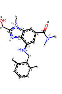 Cc1cccc(C)c1CNc1cc(C(=O)N(C)C)cc2c1nc(CO)n2C